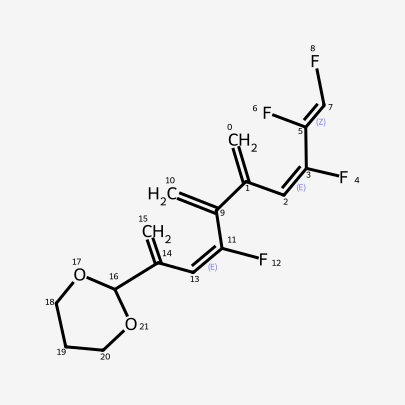 C=C(/C=C(F)\C(F)=C\F)C(=C)/C(F)=C\C(=C)C1OCCCO1